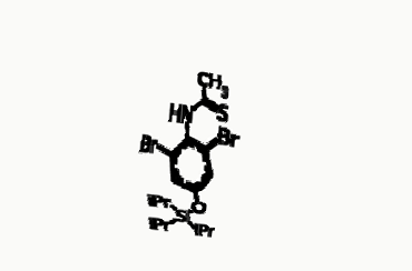 CC(=S)Nc1c(Br)cc(O[Si](C(C)C)(C(C)C)C(C)C)cc1Br